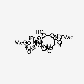 CCn1c(-c2cnccc2COC)c2c3cc(ccc31)-c1cc(O)cc(c1)C[C@H](NC(=O)C(C(C)C)N(C)C(=O)[C@H]1CCN(C(=O)N3C[C@@H]3C(=O)OC)C1)C(=O)N1CCC[C@H](N1)C(=O)OCC(C)(C)C2